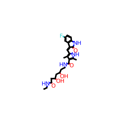 CCNC(=O)CC(O)CC(O)CCNC(=O)c1c(C)[nH]c(/C=C2\C(=O)Nc3ccc(F)cc32)c1C